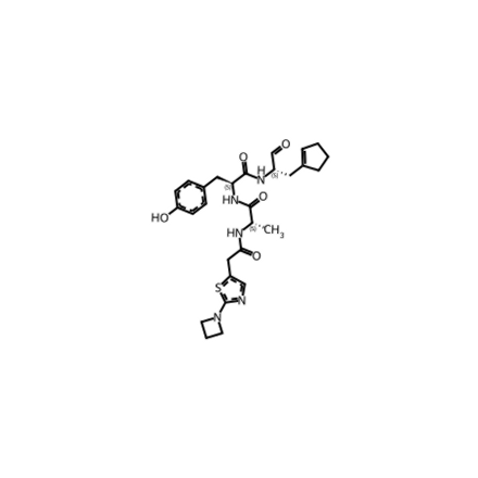 C[C@H](NC(=O)Cc1cnc(N2CCC2)s1)C(=O)N[C@@H](Cc1ccc(O)cc1)C(=O)N[C@H](C=O)CC1=CCCC1